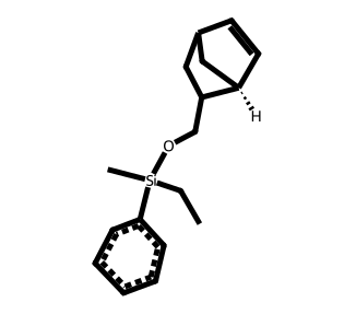 CC[Si](C)(OCC1CC2C=C[C@@H]1C2)c1ccccc1